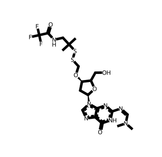 CN(C)/C=N\c1nc2c(ncn2[C@H]2C[C@@H](OCSSC(C)(C)CNC(=O)C(F)(F)F)C(CO)O2)c(=O)[nH]1